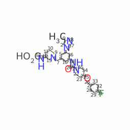 Cc1cn(-c2cc(CN3CCC[C@H](NC(=O)O)C3)cc(NC(=O)N3CCC(OCc4ccc(F)cc4)CC3)c2)cn1